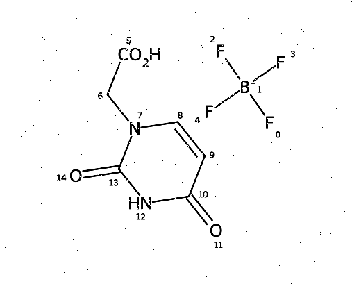 F[B-](F)(F)F.O=C(O)Cn1ccc(=O)[nH]c1=O